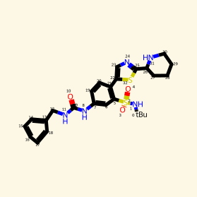 CC(C)(C)NS(=O)(=O)c1cc(NC(=O)NCc2ccccc2)ccc1-c1cnc(C2CCCCN2)s1